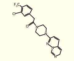 O=C(Cc1ccc(C(F)(F)F)c(Cl)c1)N1CCN(C2=NN3C=NCC=C3C=C2)CC1